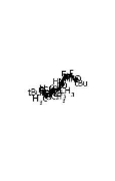 CC(COC(C)(C)CC(C)OC(C)(C)CC(C)OC(C)(C)C)OC(=O)NCCC(F)(F)CC(F)(F)CNC(=O)C(C)(C)C